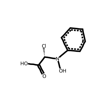 O=C(O)[C@H](Cl)N(O)c1ccccc1